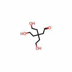 O=CCC(CCO)(CCO)CCO